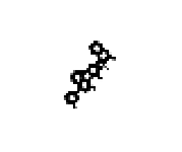 Cc1cccc(-c2cc(C)c3c4c(cccc24)-c2cc4c(sc5c(C)cc6ccccc6c54)c(C)c2-3)c1